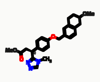 COC(=O)C[C@@H](c1ccc(OCc2ccc3c(c2)CCC(OC)C3)cc1)c1nncn1C